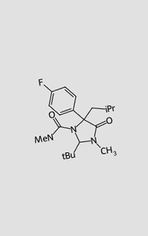 CNC(=O)N1C(C(C)(C)C)N(C)C(=O)C1(CC(C)C)c1ccc(F)cc1